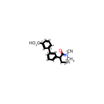 CC(C)CC(C(=O)N(C)C#N)c1cccc(-c2cccc(C(=O)O)c2)c1